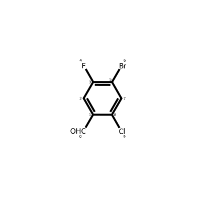 O=Cc1cc(F)c(Br)cc1Cl